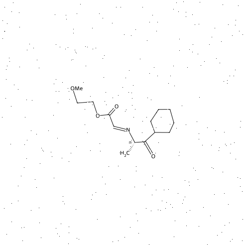 [CH2][C@H](N=CC(=O)OCCOC)C(=O)C1CCCCC1